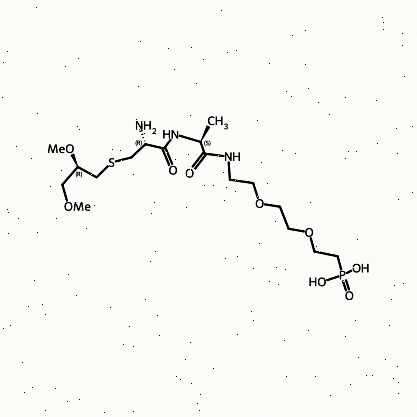 COC[C@H](CSC[C@H](N)C(=O)N[C@@H](C)C(=O)NCCOCCOCCP(=O)(O)O)OC